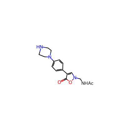 CC(=O)NCn1cc(-c2ccc(N3CCNCC3)cc2)c(=O)o1